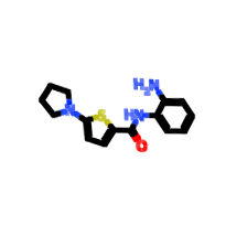 Nc1ccccc1NC(=O)c1ccc(N2CCCC2)s1